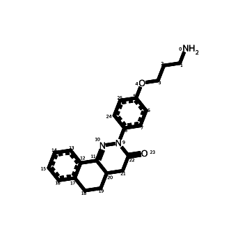 NCCCOc1ccc(N2N=C3c4ccccc4CCC3CC2=O)cc1